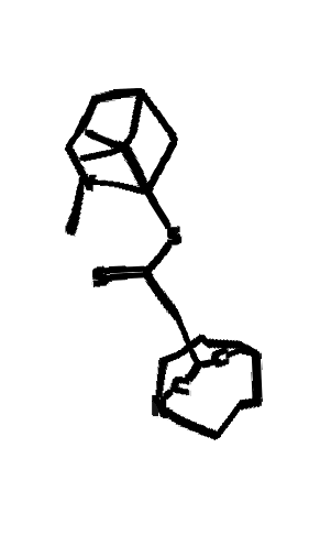 CN1CCC2CC1(SC(=S)C1CC3CCN(CC3)C1)C2(C)C